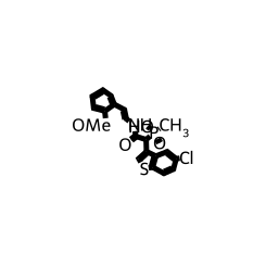 COc1ccccc1/C=C/NC(=O)C(c1csc2ccc(Cl)cc12)P(C)(=O)O